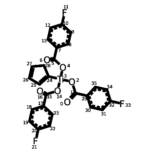 O=C([O][Ti]([O]C(=O)c1ccc(F)cc1)([O]C(=O)c1ccc(F)cc1)[C]1=CC=CC1)c1ccc(F)cc1